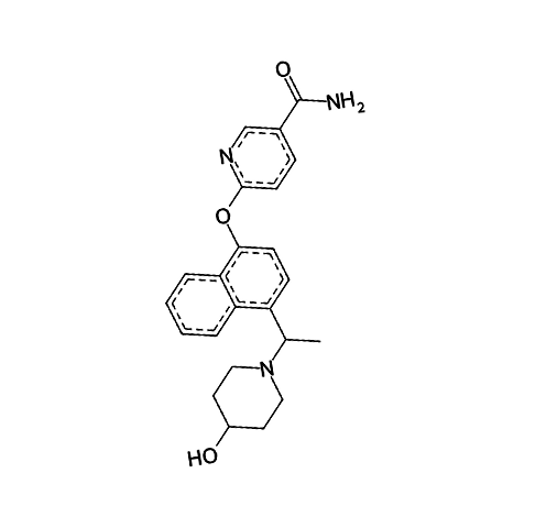 CC(c1ccc(Oc2ccc(C(N)=O)cn2)c2ccccc12)N1CCC(O)CC1